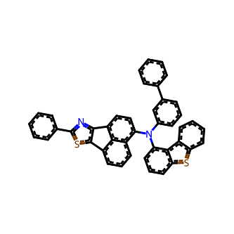 c1ccc(-c2cccc(N(c3ccc4c5c(cccc35)-c3sc(-c5ccccc5)nc3-4)c3cccc4sc5ccccc5c34)c2)cc1